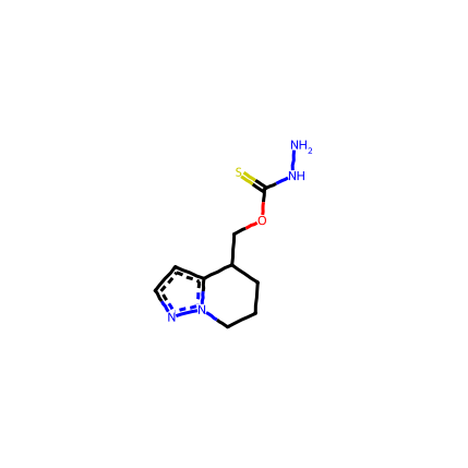 NNC(=S)OCC1CCCn2nccc21